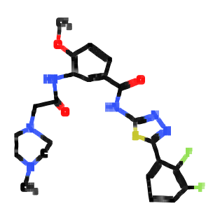 CN1CCN(CC(=O)Nc2cc(C(=O)Nc3nnc(-c4cccc(F)c4F)s3)ccc2OC(F)(F)F)CC1